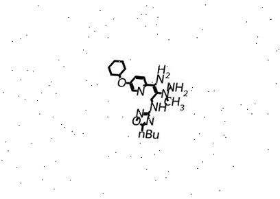 CCCCc1nc(NC/C(=C(/N)c2ccc(OC3CCCCC3)cn2)N(C)N)no1